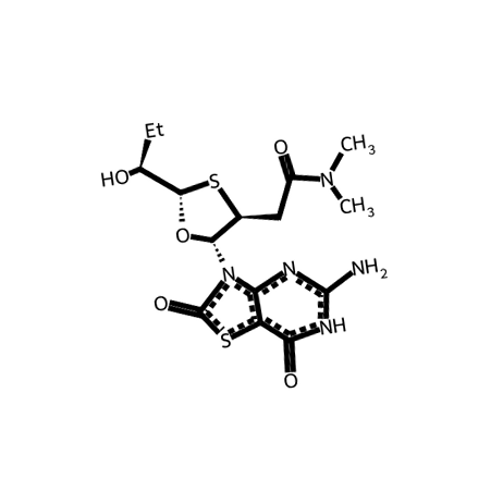 CC[C@H](O)[C@H]1O[C@@H](n2c(=O)sc3c(=O)[nH]c(N)nc32)[C@H](CC(=O)N(C)C)S1